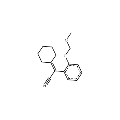 COCOc1ccccc1C(C#N)=C1CCCCC1